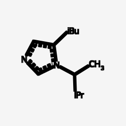 CCC(C)c1cncn1C(C)C(C)C